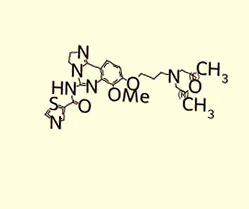 COc1c(OCCCN2C[C@@H](C)O[C@@H](C)C2)ccc2c1N=C(NC(=O)c1cncs1)N1CCN=C21